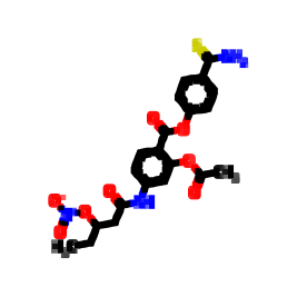 CCC(CC(=O)Nc1ccc(C(=O)Oc2ccc(C(N)=S)cc2)c(OC(C)=O)c1)O[N+](=O)[O-]